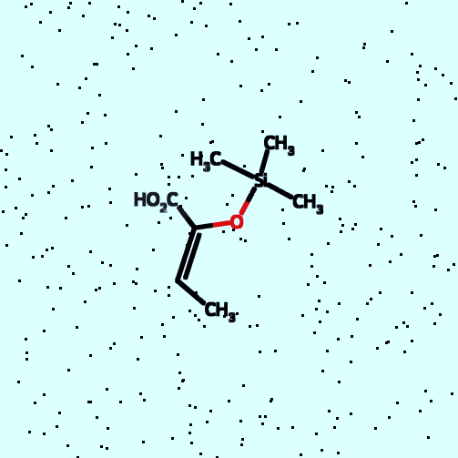 C/C=C(\O[Si](C)(C)C)C(=O)O